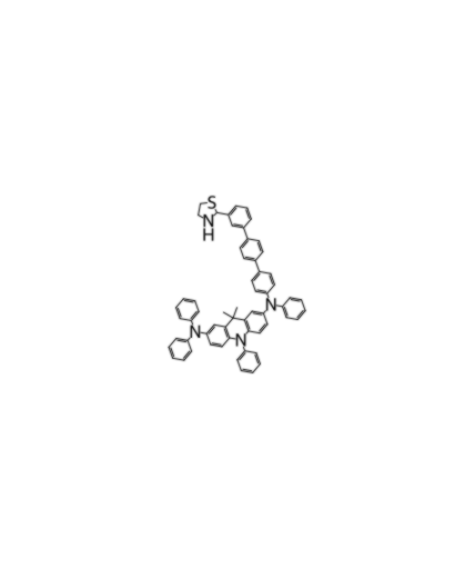 CC1(C)c2cc(N(c3ccccc3)c3ccccc3)ccc2N(c2ccccc2)c2ccc(N(c3ccccc3)c3ccc(-c4ccc(-c5cccc(C6NCCS6)c5)cc4)cc3)cc21